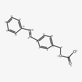 O=C(Cl)OCc1ccc(N=Nc2ccccc2)cc1